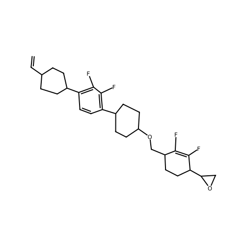 C=CC1CCC(c2ccc(C3CCC(OCC4CCC(C5CO5)C(F)=C4F)CC3)c(F)c2F)CC1